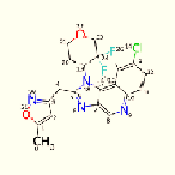 Cc1cc(Cc2nc3cnc4ccc(Cl)cc4c3n2C2CCOCC2(F)F)no1